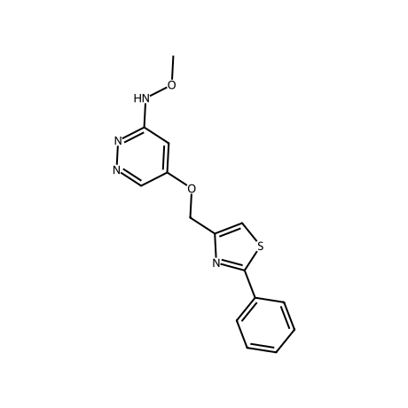 CONc1cc(OCc2csc(-c3ccccc3)n2)cnn1